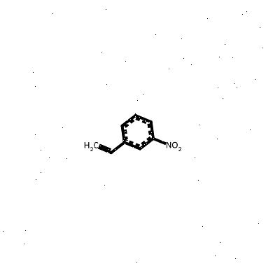 C=Cc1c[c]cc([N+](=O)[O-])c1